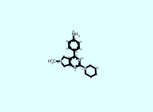 CN1Cc2nc(N3CCCCC3)nc(-c3ccc(N)cc3)c2C1